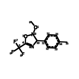 CON1OC(C(F)(F)F)=NC1c1ccc(C)cc1